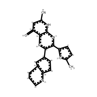 Cc1ccc(-c2nc3[nH]c(C#N)cc(=O)c3nc2-c2ccc3ncccc3c2)o1